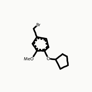 COc1cc(CBr)ccc1OC1CCCC1